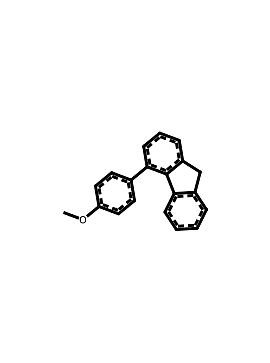 COc1ccc(-c2cccc3c2-c2ccccc2C3)cc1